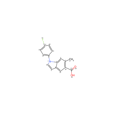 Cc1cc2c(ccn2-c2ccc(F)cc2)cc1C(=O)O